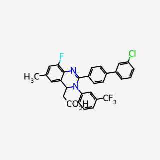 Cc1cc(F)c2c(c1)C(CC(=O)O)N(c1cccc(C(F)(F)F)c1)C(c1ccc(-c3cccc(Cl)c3)cc1)=N2